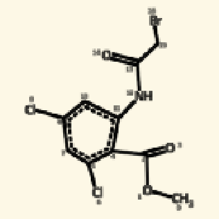 COC(=O)c1c(Cl)cc(Cl)cc1NC(=O)CBr